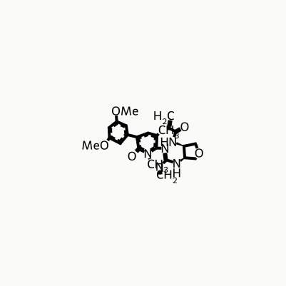 C=CC(=O)N[C@H]1COC[C@H]1N/C(N=C)=N/c1c(C)cc(-c2cc(OC)cc(OC)c2)c(=O)n1C